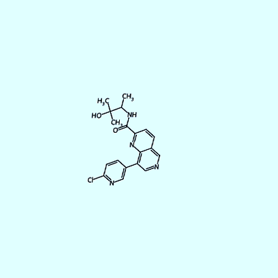 CC(NC(=O)c1ccc2cncc(-c3ccc(Cl)nc3)c2n1)C(C)(C)O